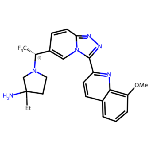 CCC1(N)CCN([C@@H](c2ccc3nnc(-c4ccc5cccc(OC)c5n4)n3c2)C(F)(F)F)C1